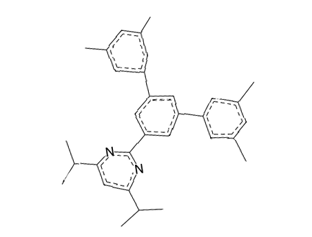 Cc1cc(C)cc(-c2cc(-c3cc(C)cc(C)c3)cc(-c3nc(C(C)C)cc(C(C)C)n3)c2)c1